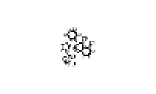 CC(C)(C)OC(=O)N1CCC[C@H]1c1nc2cccc(Cl)c2c(=O)n1-c1ccccc1